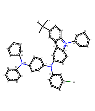 CC(C)(C)c1ccc2c(c1)c1cc(N(c3ccc(N(c4ccccc4)c4ccccc4)cc3)c3cccc(F)c3)ccc1n2-c1ccccc1